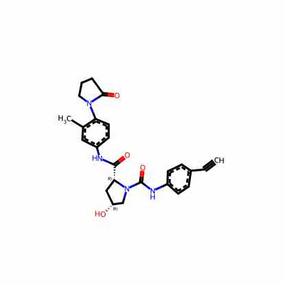 C#Cc1ccc(NC(=O)N2C[C@H](O)C[C@@H]2C(=O)Nc2ccc(N3CCCC3=O)c(C)c2)cc1